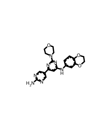 Nc1ncc(-c2cc(Nc3ccc4c(c3)OCCO4)nc(N3CCOCC3)n2)cn1